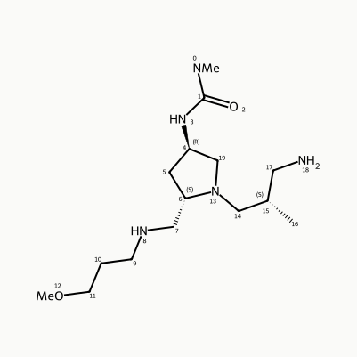 CNC(=O)N[C@@H]1C[C@@H](CNCCCOC)N(C[C@@H](C)CN)C1